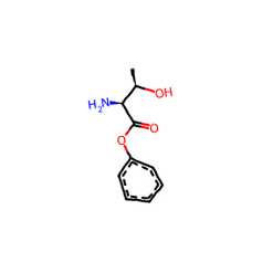 C[C@@H](O)[C@H](N)C(=O)Oc1ccccc1